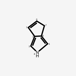 C1=Cc2c[nH]cc2C1